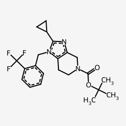 CC(C)(C)OC(=O)N1CCc2c(nc(C3CC3)n2Cc2ccccc2C(F)(F)F)C1